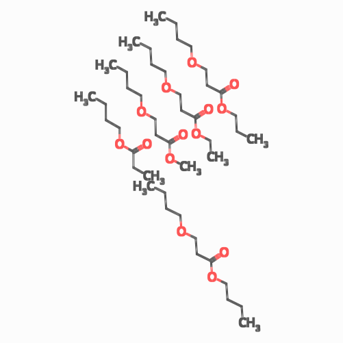 CCCCOC(=O)CC.CCCCOCCC(=O)OC.CCCCOCCC(=O)OCC.CCCCOCCC(=O)OCCC.CCCCOCCC(=O)OCCCC